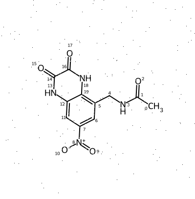 CC(=O)NCc1cc([N+](=O)[O-])cc2[nH]c(=O)c(=O)[nH]c12